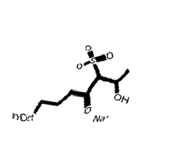 CCCCCCCCCCCC(=O)C(C(C)O)S(=O)(=O)[O-].[Na+]